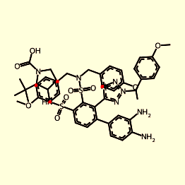 COc1ccc(CN(Cc2ccc(OC)cc2)S(=O)(=O)c2c(S(=O)(=O)NC3CCN(C(=O)O)C3C(C)(C)C)ccc(-c3ccc(N)c(N)c3)c2-c2nnn(Cc3ccc(OC)cc3)n2)cc1